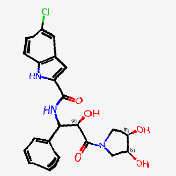 O=C(NC(c1ccccc1)[C@@H](O)C(=O)N1C[C@@H](O)[C@@H](O)C1)c1cc2cc(Cl)ccc2[nH]1